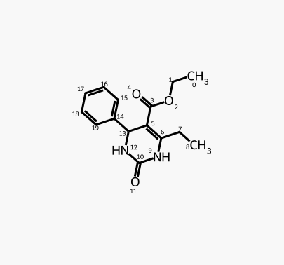 CCOC(=O)C1=C(CC)NC(=O)NC1c1ccccc1